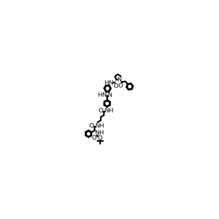 CC(C)(C)OC(=O)N[C@@H](C(=O)NCCCCC(=O)Nc1ccc(-c2nc3cc(NC(=O)[C@@H]4CCCN4C(=O)Cc4ccccc4)ccc3[nH]2)cc1)c1ccccc1